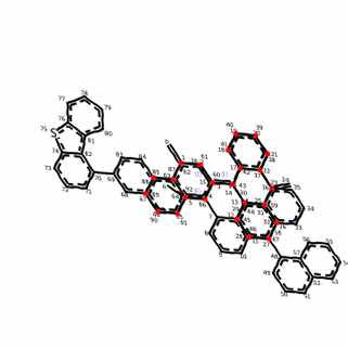 C=C(/C=C\C(=C/C)c1ccccc1N(/C(=C/C)c1ccccc1C(=C)c1ccccc1)c1ccccc1-c1ccccc1N(c1ccc(-c2cccc3ccccc23)cc1)c1ccc2c(ccc3cc(-c4cccc5sc6ccccc6c45)ccc32)c1)c1ccccc1